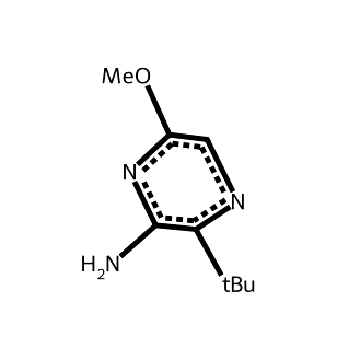 COc1cnc(C(C)(C)C)c(N)n1